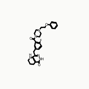 O=C(c1cc(Cc2n[nH]c(=O)c3c2NCCC3)ccc1F)N1CCN(CCOc2ccccc2)CC1